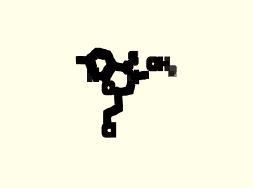 Cc1ccc2c(n1)OC(CCCl)CN(C)C2=S.O